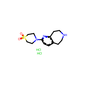 Cl.Cl.O=S1(=O)CCN(c2ccc3c(n2)CCNCC3)CC1